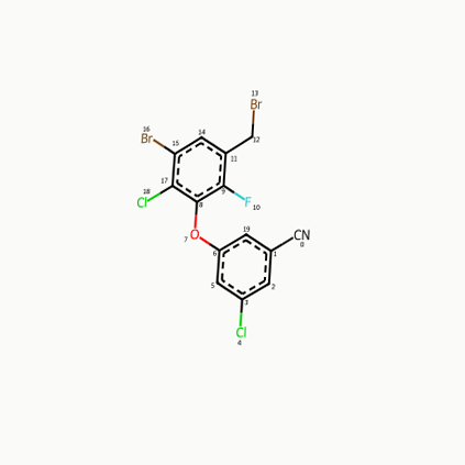 N#Cc1cc(Cl)cc(Oc2c(F)c(CBr)cc(Br)c2Cl)c1